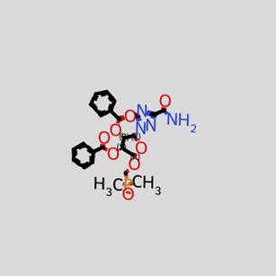 CP(C)(=O)CO[C@H]1O[C@@H](n2cnc(C(N)=O)n2)[C@H](OC(=O)c2ccccc2)[C@@H]1OC(=O)c1ccccc1